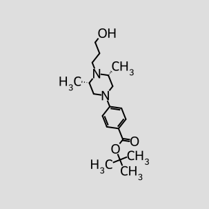 C[C@@H]1CN(c2ccc(C(=O)OC(C)(C)C)cc2)C[C@H](C)N1CCCO